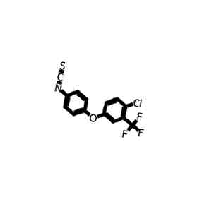 FC(F)(F)c1cc(Oc2ccc(N=C=S)cc2)ccc1Cl